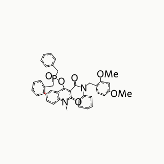 COc1ccc(CN(C(=O)c2c(OP(=O)(Cc3ccccc3)Cc3ccccc3)c3ccccc3n(C)c2=O)c2ccccc2)c(OC)c1